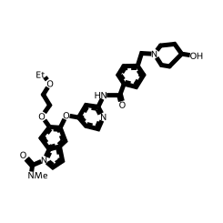 CCOCCOc1cc2c(ccn2C(=O)NC)cc1Oc1ccnc(NC(=O)c2ccc(CN3CCC(O)CC3)cc2)c1